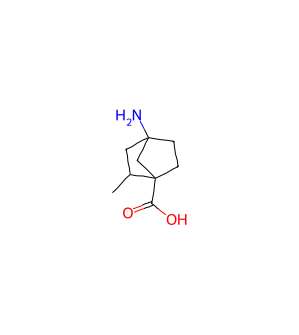 CC1CC2(N)CCC1(C(=O)O)C2